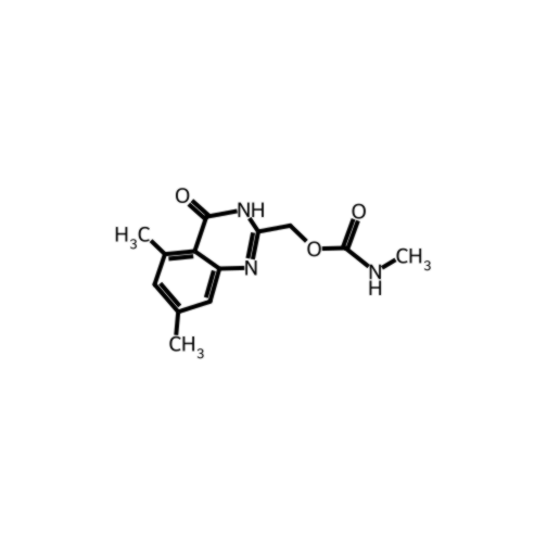 CNC(=O)OCc1nc2cc(C)cc(C)c2c(=O)[nH]1